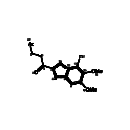 COc1cc2sc(C(=O)CCC(C)=O)cc2c(F)c1OC